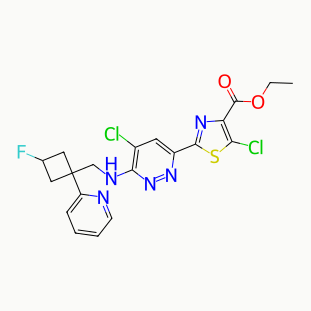 CCOC(=O)c1nc(-c2cc(Cl)c(NCC3(c4ccccn4)CC(F)C3)nn2)sc1Cl